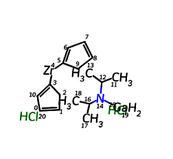 C1=CC[C]([Zr][C]2=CC=CC2)=C1.CC(C)[N]([GaH2])C(C)C.Cl.Cl